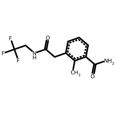 Cc1c(CC(=O)NCC(F)(F)F)cccc1C(N)=O